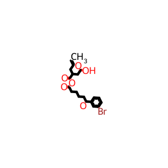 CC=CCC(CC(=O)O)C(=O)OC(=O)CCCCC(=O)c1cccc(Br)c1